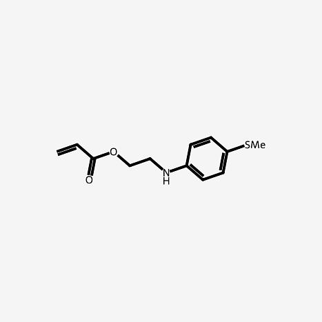 C=CC(=O)OCCNc1ccc(SC)cc1